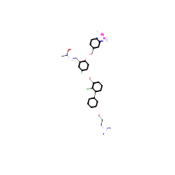 CCN(CC)CCCOc1cccc(-c2cccc(COc3cc(OCc4ccc5nonc5c4)c(CNC(CO)C(=O)O)cc3Cl)c2Cl)c1